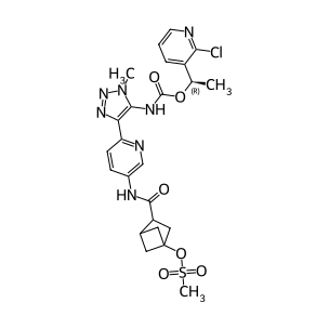 C[C@@H](OC(=O)Nc1c(-c2ccc(NC(=O)C3CC4(OS(C)(=O)=O)CC3C4)cn2)nnn1C)c1cccnc1Cl